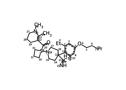 CCc1cc(OCCC(C)C)cc(F)c1C1(C(C)=N)CCN(S2(C(=O)C3=C(C)N(C)CCC3)CCC2)CC1